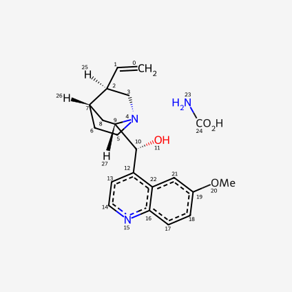 C=C[C@H]1C[N@]2CC[C@H]1C[C@H]2[C@H](O)c1ccnc2ccc(OC)cc12.NC(=O)O